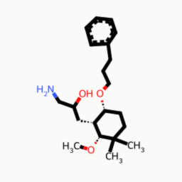 CO[C@@H]1[C@H](CC(O)CN)[C@H](OCCCc2ccccc2)CCC1(C)C